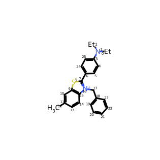 CCN(CC)c1ccc(-c2sc3cc(C)ccc3[n+]2Cc2ccccc2)cc1